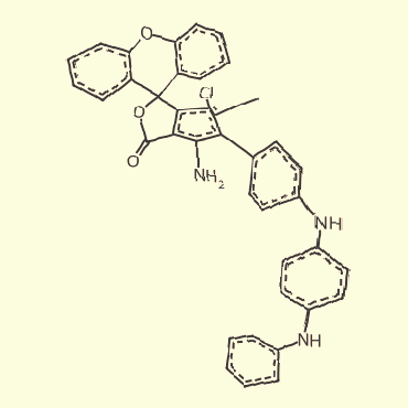 Cc1c(Cl)c2c(c(N)c1-c1ccc(Nc3ccc(Nc4ccccc4)cc3)cc1)C(=O)OC21c2ccccc2Oc2ccccc21